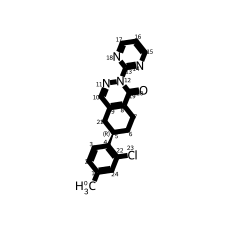 Cc1ccc([C@@H]2CCc3c(cnn(-c4ncccn4)c3=O)C2)c(Cl)c1